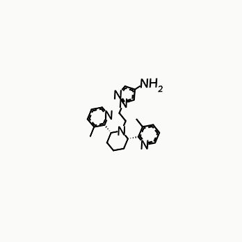 Cc1cccnc1[C@H]1CCC[C@@H](c2ncccc2C)N1CCn1cc(N)cn1